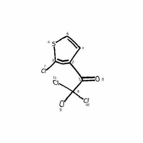 O=C(c1ccsc1Cl)C(Cl)(Cl)Cl